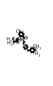 Cc1ccc(CN2CCN(CCNC(=O)c3ccc(Cl)cc3OCC(=O)N(C)C)CC2)cc1C